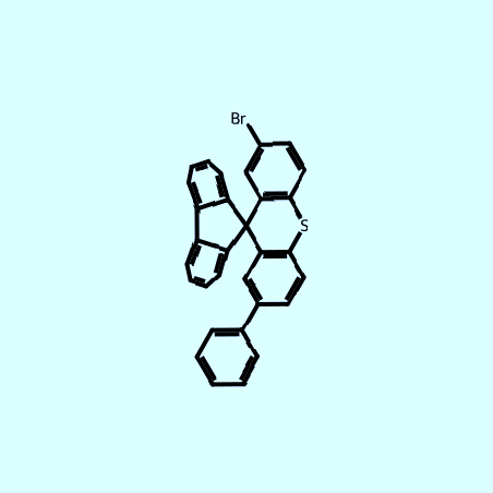 Brc1ccc2c(c1)C1(c3cc(-c4ccccc4)ccc3S2)c2ccccc2-c2ccccc21